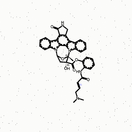 CN(C)C/C=C/C(=O)Nc1ccccc1OC(=O)[C@@]1(O)CC2O[C@]1(C)n1c3ccccc3c3c4c(c5c6ccccc6n2c5c31)C(=O)NC4